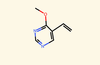 C=Cc1cncnc1OC